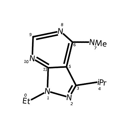 CCn1nc(C(C)C)c2c(NC)ncnc21